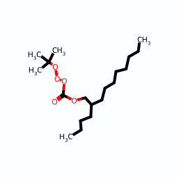 CCCCCCCCC(CCCC)COC(=O)OOOC(C)(C)C